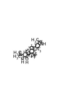 Cc1n[nH]c2ccc(C3=CCC4[C@]3(C)CC(C(F)(F)F)=C3C=C5[C@@H](O)[C@H](O)[C@@H](N(C)C)C[C@]56CC[C@@]34O6)cc12